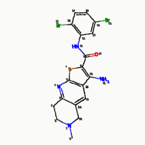 CN1CCc2nc3sc(C(=O)Nc4cc(Br)ccc4Br)c(N)c3cc2C1